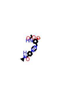 COc1cc(CN2CCN(c3ccc(C(=O)NC4CC4)cc3)CC2)cc2c1OC(C)C(=O)N2